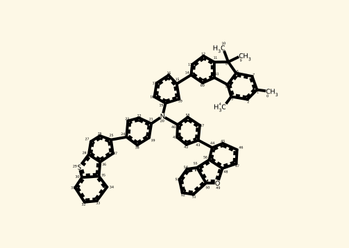 Cc1cc(C)c2c(c1)C(C)(C)c1ccc(-c3cccc(N(c4ccc(-c5ccc6sc7ccccc7c6c5)cc4)c4ccc(-c5cccc6oc7ccccc7c56)cc4)c3)cc1-2